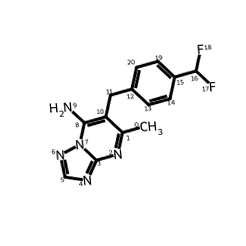 Cc1nc2ncnn2c(N)c1Cc1ccc(C(F)F)cc1